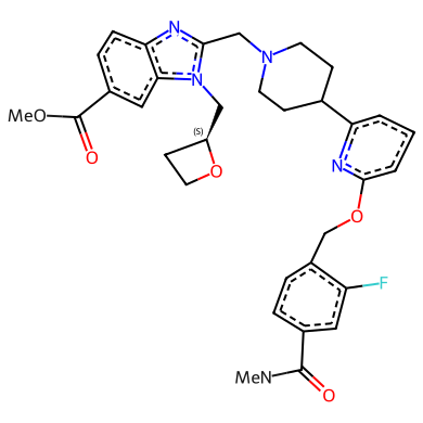 CNC(=O)c1ccc(COc2cccc(C3CCN(Cc4nc5ccc(C(=O)OC)cc5n4C[C@@H]4CCO4)CC3)n2)c(F)c1